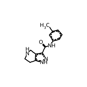 Cc1cccc(NC(=O)c2n[nH]c3c2CNCC3)c1